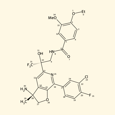 CCOc1ccc(C(=O)NC[C@](O)(c2cc3c(c(-c4ccc(F)c(Cl)c4)n2)OC[C@]3(C)N)C(F)(F)F)cc1OC